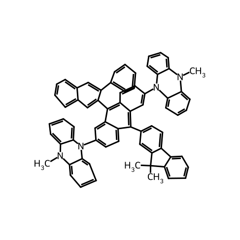 CN1c2ccccc2N(c2ccc3c(-c4cc5ccccc5cc4-c4ccccc4)c4cc(N5c6ccccc6N(C)c6ccccc65)ccc4c(-c4ccc5c(c4)C(C)(C)c4ccccc4-5)c3c2)c2ccccc21